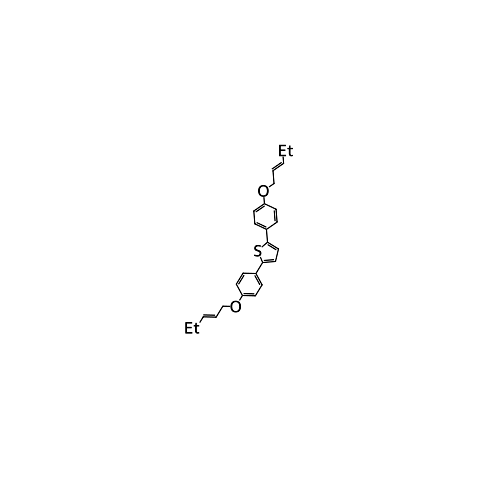 CC/C=C/COc1ccc(-c2ccc(-c3ccc(OC/C=C/CC)cc3)s2)cc1